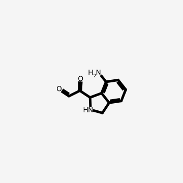 Nc1cccc2c1C(C(=O)C=O)NC2